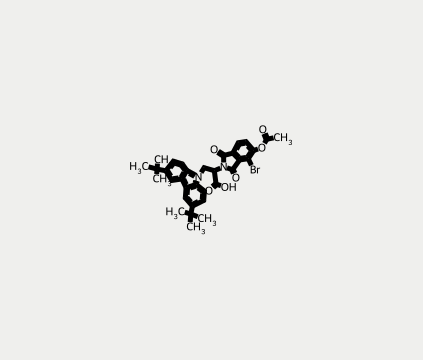 CC(=O)Oc1ccc2c(c1Br)C(=O)N(C(Cn1c3ccc(C(C)(C)C)cc3c3cc(C(C)(C)C)ccc31)C(=O)O)C2=O